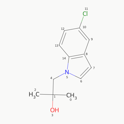 CC(C)(O)Cn1ccc2cc(Cl)ccc21